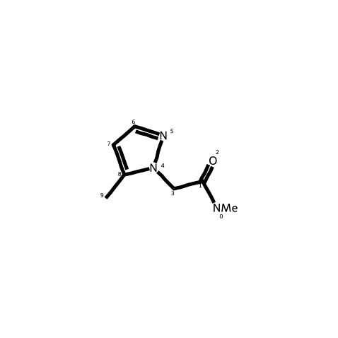 [CH2-][NH2+]C(=O)Cn1nccc1C